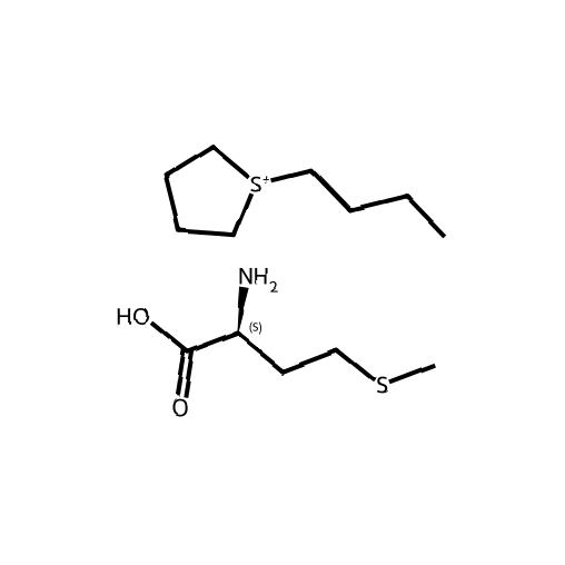 CCCC[S+]1CCCC1.CSCC[C@H](N)C(=O)O